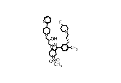 CS(=O)(=O)N1CCc2c(c(-c3ccc(C(F)(F)F)c(SCCN4CCC(F)CC4)c3)nn2C[C@H](O)CN2CCC(c3ccccn3)CC2)C1